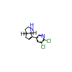 Clc1cc(C2=CC[C@@H]3CCN[C@H]23)cnc1Cl